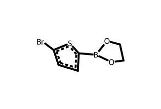 Brc1ccc(B2OCCO2)s1